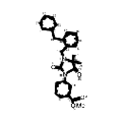 COC(=O)c1cccc(N2C(=O)N(Cc3ccccc3Cc3ccccc3)C(C)(C)C2=O)c1